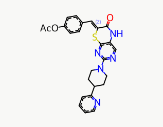 CC(=O)Oc1ccc(/C=C2\Sc3nc(N4CCC(c5ccccn5)CC4)ncc3NC2=O)cc1